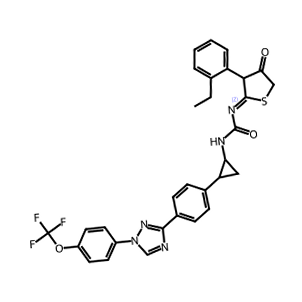 CCc1ccccc1C1C(=O)CS/C1=N\C(=O)NC1CC1c1ccc(-c2ncn(-c3ccc(OC(F)(F)F)cc3)n2)cc1